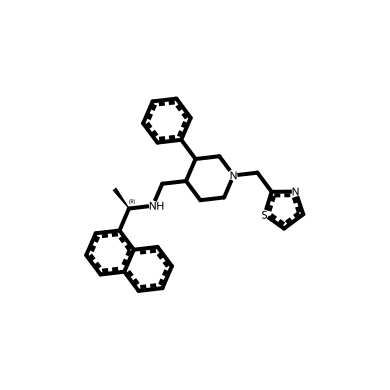 C[C@@H](NCC1CCN(Cc2nccs2)CC1c1ccccc1)c1cccc2ccccc12